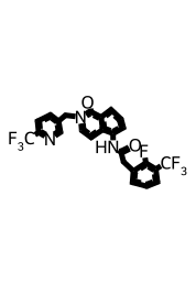 O=C(Cc1cccc(C(F)(F)F)c1F)Nc1cccc2c(=O)n(Cc3ccc(C(F)(F)F)nc3)ccc12